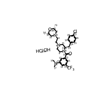 C[C@@H]1CN(CCN2CCN(C(=O)c3cc(N(C)C)cc(C(F)(F)F)c3)[C@H](Cc3ccc(Cl)cc3)C2)C[C@H](C)O1.Cl.Cl